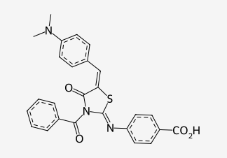 CN(C)c1ccc(C=C2SC(=Nc3ccc(C(=O)O)cc3)N(C(=O)c3ccccc3)C2=O)cc1